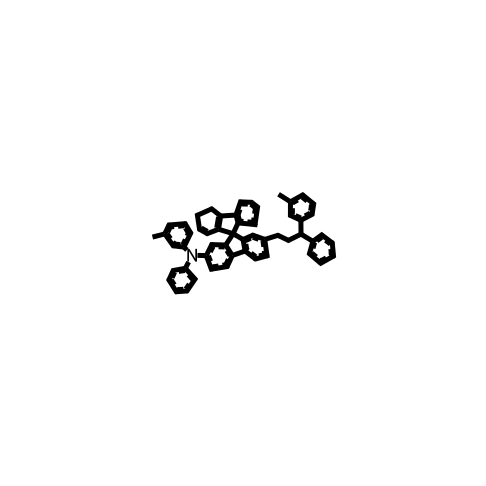 Cc1cccc(C(CCc2ccc3c(c2)C2(C4=C(CCC=C4)c4ccccc42)c2cc(N(c4ccccc4)c4cccc(C)c4)ccc2-3)c2ccccc2)c1